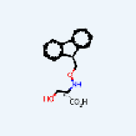 O=C(O)[C@H](CO)NOCC1c2ccccc2-c2ccccc21